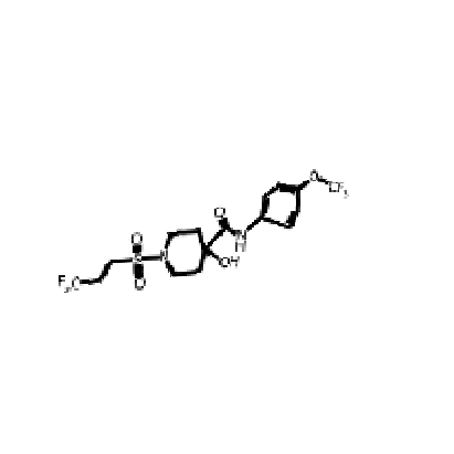 O=C(Nc1ccc(OC(F)(F)F)cc1)C1(O)CCN(S(=O)(=O)CCC(F)(F)F)CC1